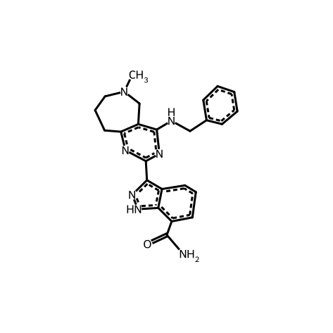 CN1CCCc2nc(-c3n[nH]c4c(C(N)=O)cccc34)nc(NCc3ccccc3)c2C1